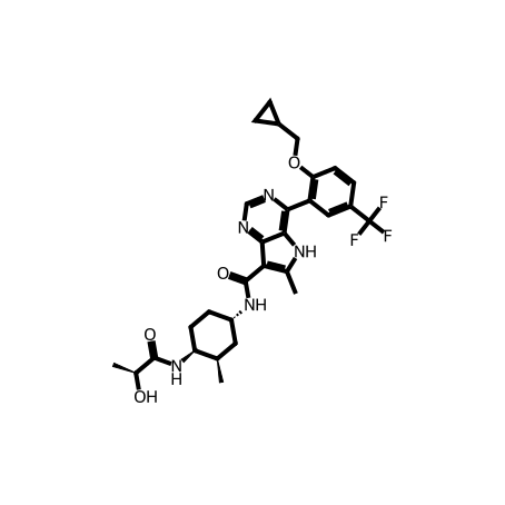 Cc1[nH]c2c(-c3cc(C(F)(F)F)ccc3OCC3CC3)ncnc2c1C(=O)N[C@H]1CC[C@H](NC(=O)[C@H](C)O)[C@H](C)C1